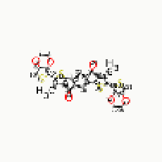 Cc1c(C2=C3OCCOC3CS2)sc2c1c(=O)c1cc3c(cc12)c(=O)c1c(C)c(-c2scc4c2OCCO4)sc13